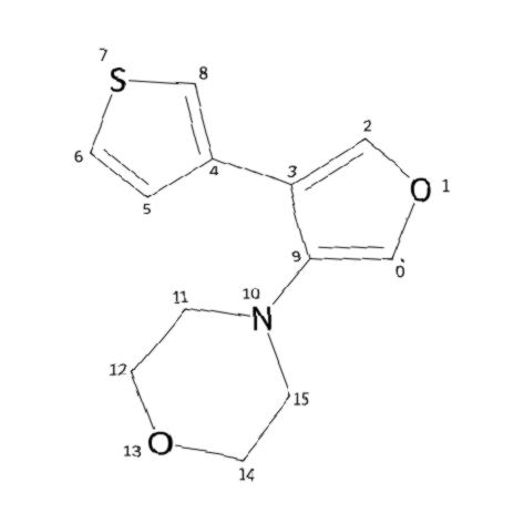 [c]1occ(-c2ccsc2)c1N1CCOCC1